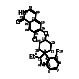 CC[C@H](N)C1(c2ccccc2F)CCC(Oc2cc3cc[nH]c(=O)c3cc2Cl)CC1